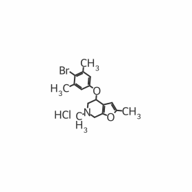 Cc1cc2c(o1)CN(C)CC2Oc1cc(C)c(Br)c(C)c1.Cl